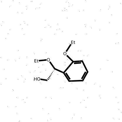 CCOc1ccccc1[C@H](CO)OCC